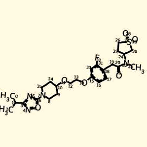 CC(C)c1noc(N2CCC(OCCOc3ccc(CC(=O)N(C)C4CCS(=O)(=O)C4)c(F)c3)CC2)n1